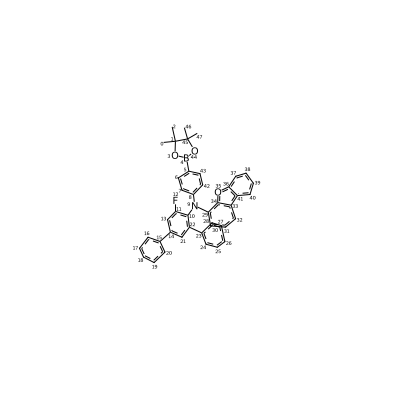 CC1(C)OB(c2ccc(N(c3c(F)cc(-c4ccccc4)cc3-c3ccccc3)c3cccc4c3oc3ccccc34)cc2)OC1(C)C